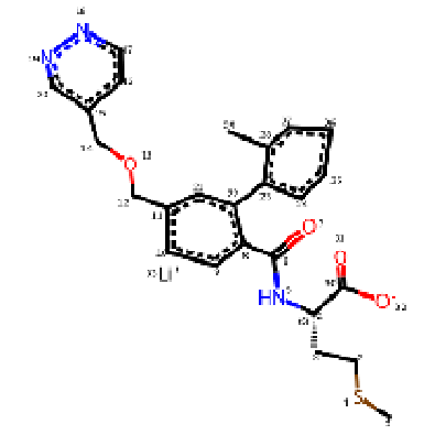 CSCC[C@H](NC(=O)c1ccc(COCc2ccnnc2)cc1-c1ccccc1C)C(=O)[O-].[Li+]